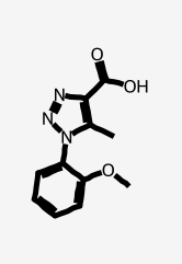 COc1ccccc1-n1nnc(C(=O)O)c1C